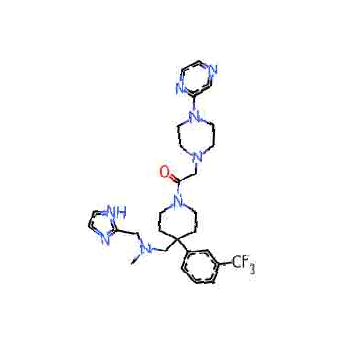 CN(Cc1ncc[nH]1)CC1(c2cccc(C(F)(F)F)c2)CCN(C(=O)CN2CCN(c3cnccn3)CC2)CC1